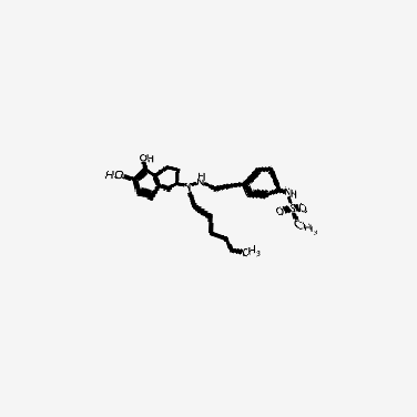 CCCCCCN(NCCc1ccc(NS(C)(=O)=O)cc1)C1CCc2c(ccc(O)c2O)C1